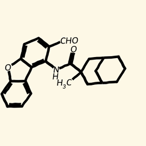 CC1(C(=O)Nc2c(C=O)ccc3oc4ccccc4c23)CC2CCCC(C2)C1